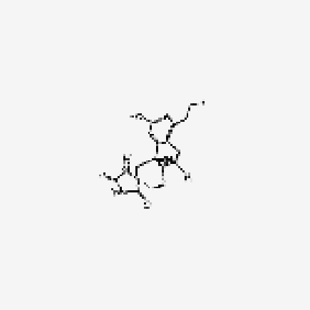 O=C1NC(=O)[C@@]2(CC[C@@]3(O)[C@H]4Cc5c(CCF)cc(O)cc5[C@@]3(CCN4)C2)N1